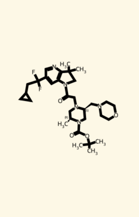 C[C@@H]1CN(CC(=O)N2CC(C)(C)c3ncc(C(F)(F)CC4CC4)cc32)[C@@H](CN2CCOCC2)CN1C(=O)OC(C)(C)C